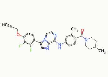 C#CCOc1ccc(-c2cnc3c(Nc4ccc(C(=O)N5CCC(C)CC5)c(C)c4)nccn23)c(F)c1F